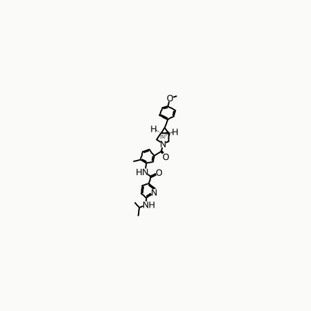 COc1ccc(C2[C@H]3CN(C(=O)c4ccc(C)c(NC(=O)c5ccc(NC(C)C)nc5)c4)C[C@@H]23)cc1